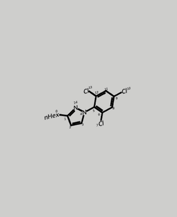 [CH2]CCCCCc1ccn(-c2c(Cl)cc(Cl)cc2Cl)n1